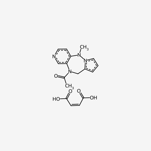 CC(=O)N1Cc2cccn2N(C)c2ccncc21.O=C(O)/C=C\C(=O)O